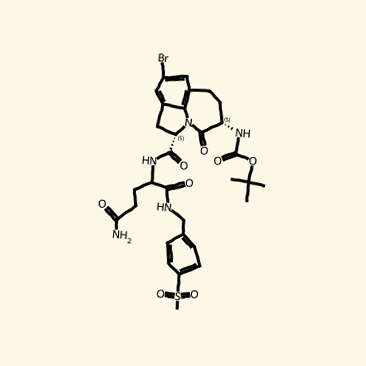 CC(C)(C)OC(=O)N[C@H]1CCc2cc(Br)cc3c2N(C1=O)[C@H](C(=O)NC(CCC(N)=O)C(=O)NCc1ccc(S(C)(=O)=O)cc1)C3